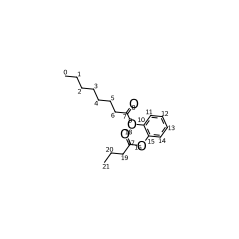 CCCCCCCC(=O)Oc1ccccc1OC(=O)CCC